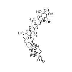 C[C@H]1O[C@@H](O[C@H]2CC[C@@]3(C)[C@H](CC[C@@H]4[C@H]3C[C@@H](O)[C@]3(C)[C@@H](C5=CC(=O)OC5)CC[C@]43O)C2)C[C@H](O)[C@@H]1O[C@H]1C[C@H](O)[C@H](O[C@H]2C[C@H](O)[C@H](O[C@@H]3O[C@H](CO)[C@@H](O)[C@H](O)[C@H]3O)[C@@H](C)O2)[C@@H](C)O1